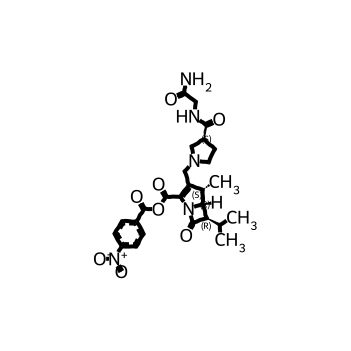 CC(C)[C@H]1C(=O)N2C(C(=O)OC(=O)c3ccc([N+](=O)[O-])cc3)=C(CN3CC[C@H](C(=O)NCC(N)=O)C3)[C@H](C)[C@H]12